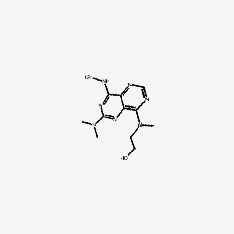 CCCNc1nc(N(C)C)nc2c(N(C)CCO)ncnc12